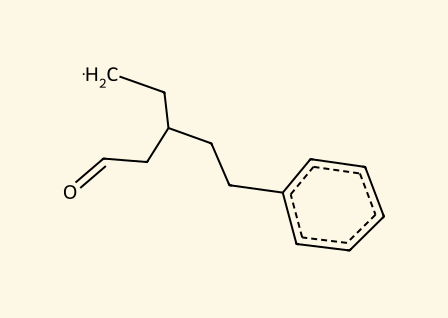 [CH2]CC(CC=O)CCc1ccccc1